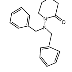 O=C1CCCCN1N(Cc1ccccc1)Cc1ccccc1